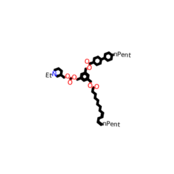 CCCCC/C=C\C/C=C\CCCCCCCC(=O)OCc1cc(COC(=O)OCC2CCCN(CC)C2)cc(COC(=O)C2CCC(C3CCC(CCCCC)CC3)CC2)c1